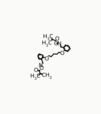 C=C(C)C(=O)ON=Cc1ccccc1OCCCCCOc1ccccc1C=NOC(=O)C(=C)C